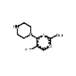 CC(C)(C)c1ncc(C(F)(F)F)c(N2CCNCC2)n1